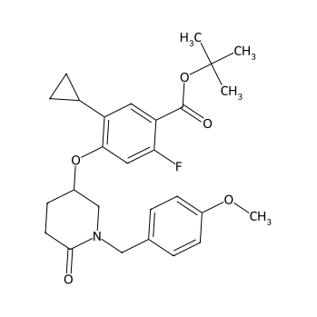 COc1ccc(CN2CC(Oc3cc(F)c(C(=O)OC(C)(C)C)cc3C3CC3)CCC2=O)cc1